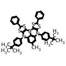 Cc1cc2c3c(c1)N(c1ccc(C(C)(C)C)cc1)C1=C(SC(c4ccccc4)S1)B3C1=C(SC(c3ccccc3)S1)N2c1ccc(C(C)(C)C)cc1